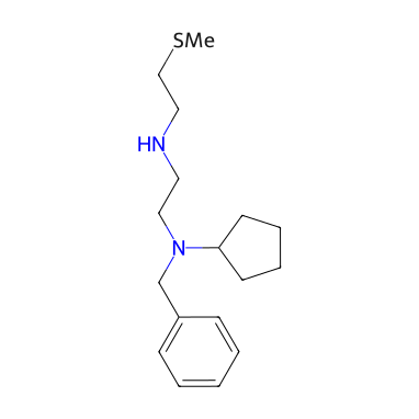 CSCCNCCN(Cc1ccccc1)C1CCCC1